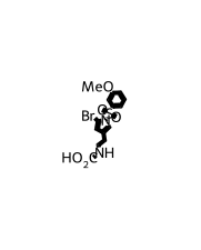 COc1cccc(S(=O)(=O)n2cc(CCNC(=O)O)cc2Br)c1